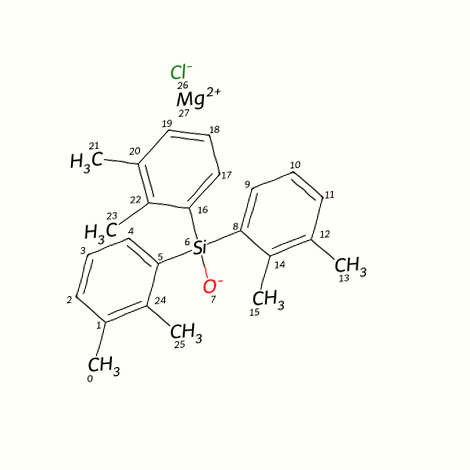 Cc1cccc([Si]([O-])(c2cccc(C)c2C)c2cccc(C)c2C)c1C.[Cl-].[Mg+2]